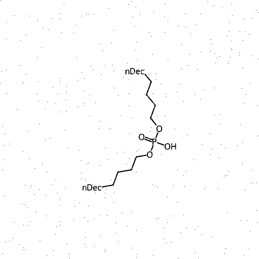 CCCCCCCCCCCCCCOP(=O)(O)OCCCCCCCCCCCCCC